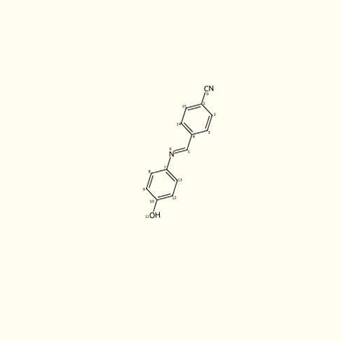 N#Cc1ccc(C=Nc2ccc(O)cc2)cc1